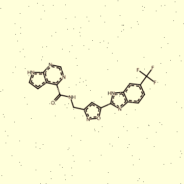 O=C(NCc1cc(-c2nc3ccc(C(F)(F)F)cc3[nH]2)on1)c1ncnc2[nH]ccc12